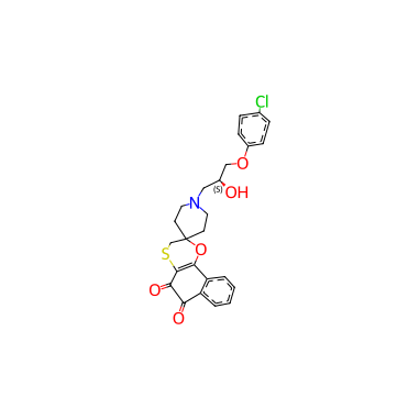 O=C1C(=O)c2ccccc2C2=C1SCC1(CCN(C[C@H](O)COc3ccc(Cl)cc3)CC1)O2